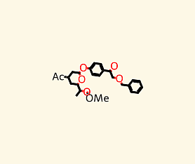 COOC(C)C1CC(C(C)=O)CC(Oc2ccc(C(=O)COCc3ccccc3)cc2)O1